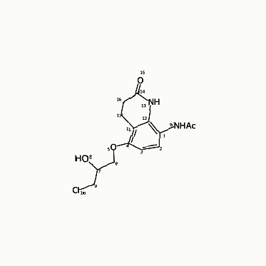 CC(=O)Nc1ccc(OCC(O)CCl)c2c1NC(=O)CC2